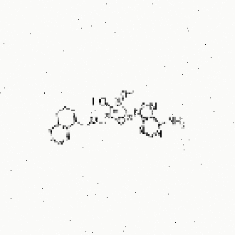 CO[C@@H]1[C@H](O)[C@@H](COCC2=CCCc3ccccc32)O[C@H]1n1cnc2c(N)ncnc21